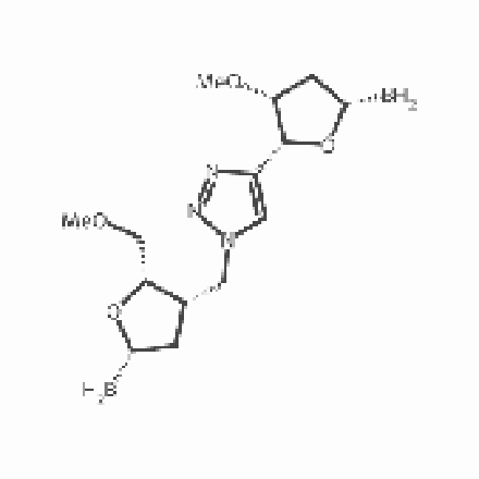 B[C@H]1C[C@@H](OC)[C@@H](c2cn(C[C@@H]3C[C@H](B)O[C@@H]3COC)nn2)O1